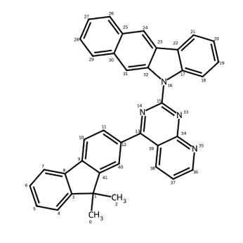 CC1(C)c2ccccc2-c2ccc(-c3nc(-n4c5ccccc5c5cc6ccccc6cc54)nc4ncccc34)cc21